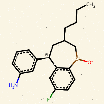 CCCCC1C[C@H](c2cccc(N)c2)c2cc(F)ccc2[S+]([O-])C1